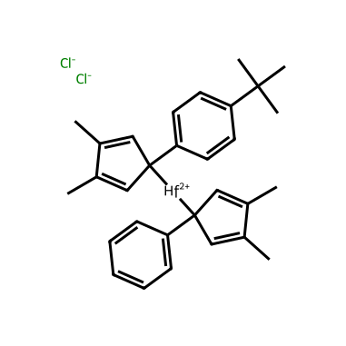 CC1=C[C]([Hf+2][C]2(c3ccc(C(C)(C)C)cc3)C=C(C)C(C)=C2)(c2ccccc2)C=C1C.[Cl-].[Cl-]